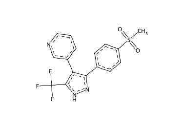 CS(=O)(=O)c1ccc(-c2n[nH]c(C(F)(F)F)c2-c2cccnc2)cc1